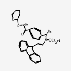 CCC(c1ccc(C(=O)NOC2CCCCO2)cc1)N(CCC1c2ccccc2-c2ccccc21)C(=O)O